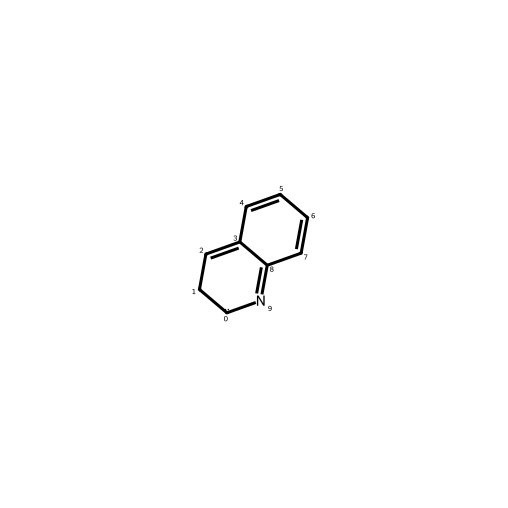 [C]1CC=c2ccccc2=N1